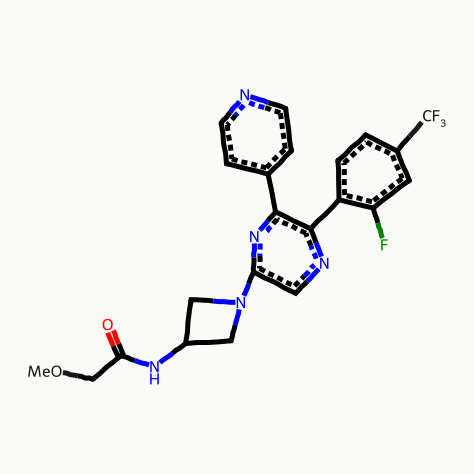 COCC(=O)NC1CN(c2cnc(-c3ccc(C(F)(F)F)cc3F)c(-c3ccncc3)n2)C1